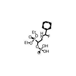 CCOP(=O)(OCC)C(CNC(F)c1ccccc1)OP(=O)(O)O